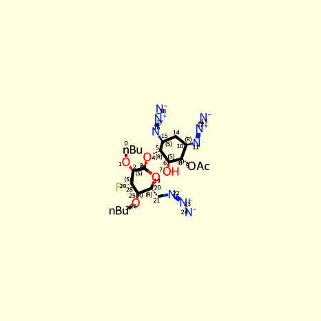 CCCCO[C@H]1[C@@H](O[C@H]2[C@H](O)[C@@H](OC(C)=O)[C@H](N=[N+]=[N-])C[C@@H]2N=[N+]=[N-])O[C@H](CN=[N+]=[N-])[C@@H](OCCCC)[C@@H]1F